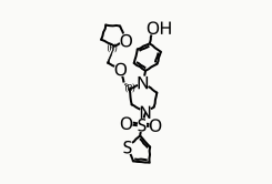 O=S(=O)(c1cccs1)N1CCN(c2ccc(O)cc2)[C@@H](COC[C@H]2CCCO2)C1